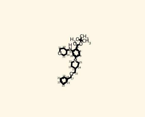 CC(C)(C)OC(=O)c1ccc(N2CCC(COCc3ccccc3)CC2)cc1NC1CCOCC1